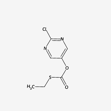 CCSC(=O)Oc1cnc(Cl)nc1